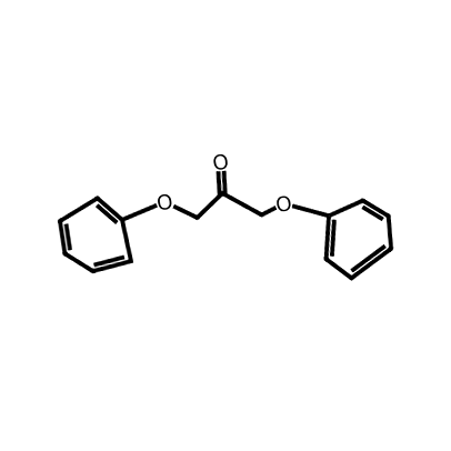 O=C(COc1ccccc1)COc1ccccc1